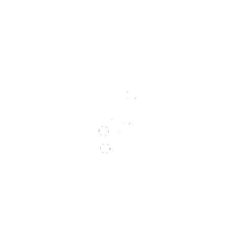 CCOP1(=O)CCN(Cc2ccccc2-c2ccc(F)cc2)CC1(CCCCN(C(=O)OC(C)(C)C)C(=O)OC(C)(C)C)C(=O)O